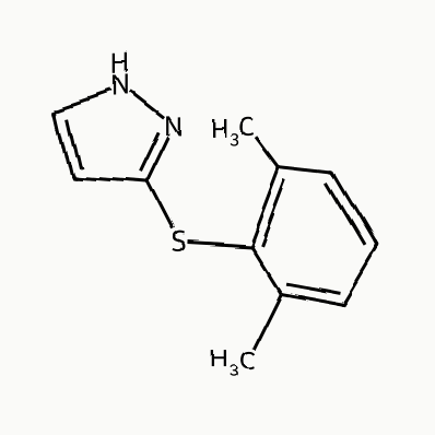 Cc1cccc(C)c1Sc1cc[nH]n1